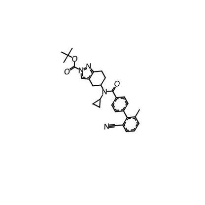 Cc1cccc(C#N)c1-c1ccc(C(=O)N(C2CC2)C2CCc3nn(C(=O)OC(C)(C)C)cc3C2)cc1